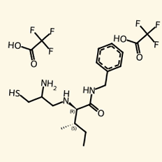 CC[C@H](C)[C@@H](NCC(N)CS)C(=O)NCc1ccccc1.O=C(O)C(F)(F)F.O=C(O)C(F)(F)F